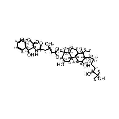 COC(=O)[C@@H](NC(=O)C[C@@](C)(O)CC(=O)O[C@H]1[C@H](O)C[C@]2(C)C3=C(CC[C@H]2C1(C)C)[C@]1(C)CC[C@H]([C@H](C)CC[C@@H](O)C(C)(C)O)[C@@]1(C)[C@@H](O)C3)[C@@H](O)c1ccccc1